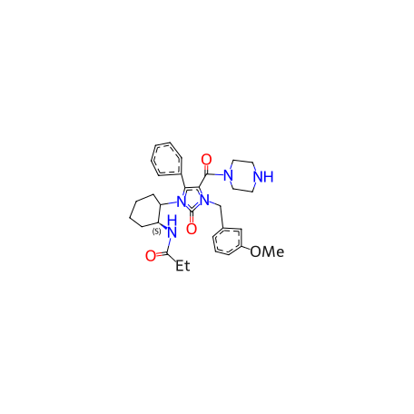 CCC(=O)N[C@H]1CCCCC1n1c(-c2ccccc2)c(C(=O)N2CCNCC2)n(Cc2cccc(OC)c2)c1=O